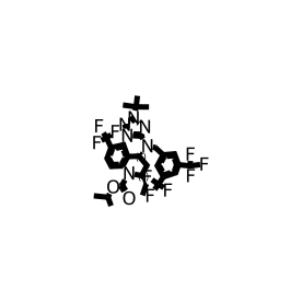 CC[C@@H]1C[C@H](N(Cc2cc(C(F)(F)F)cc(C(F)(F)F)c2)c2nnn(C(C)(C)C)n2)c2cc(C(F)(F)F)ccc2N1C(=O)OC(C)C